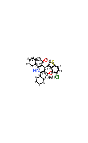 COC(=O)C1=C(C2CCCCC2)NC(C2CCCCC2)=C(C(=O)OC)C1c1csc2ccc(Cl)cc12